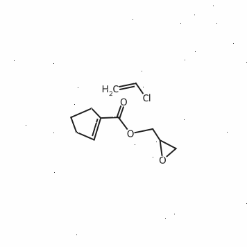 C=CCl.O=C(OCC1CO1)C1=CCCC1